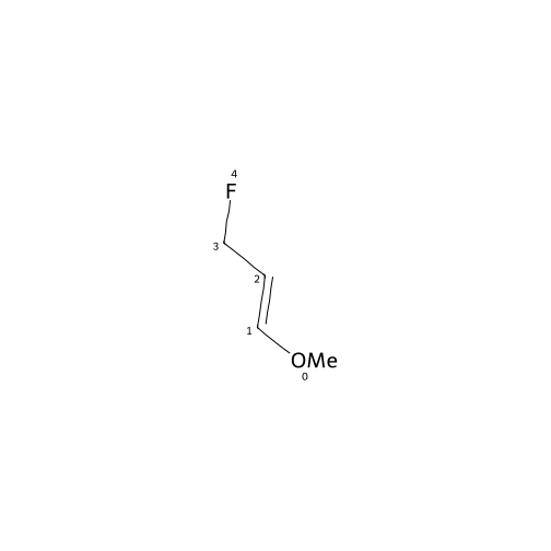 COC=CCF